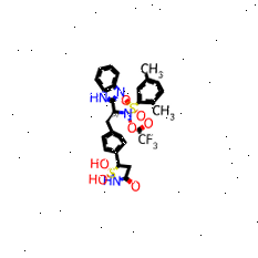 Cc1ccc(C)c(S(=O)(=O)N(OC(=O)C(F)(F)F)[C@@H](Cc2ccc(C3CC(=O)NS3(O)O)cc2)c2nc3ccccc3[nH]2)c1